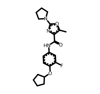 Cc1oc(N2CCCC2)nc1C(=O)Nc1ccc(OC2CCCC2)c(F)c1